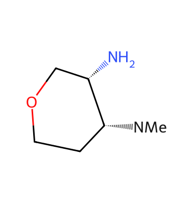 CN[C@@H]1CCOC[C@@H]1N